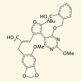 CCCCc1occ(C=C(Cc2cc3c(cc2OC)OCO3)C(=O)O)c1-c1cnc(OC)nc1OCc1ccccc1C(=O)O